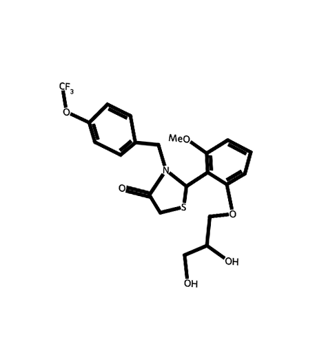 COc1cccc(OCC(O)CO)c1C1SCC(=O)N1Cc1ccc(OC(F)(F)F)cc1